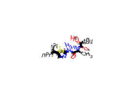 CCCC(CCC)c1cnc(NC(=O)C(C)NC(=O)C(O)C(C)(C)C)s1